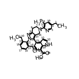 CCc1cnc(N2CCc3nn(-c4c(CC)cccc4CC)c(-c4ccc(C(=O)O)c5[nH]ccc45)c3C2)c(P)c1